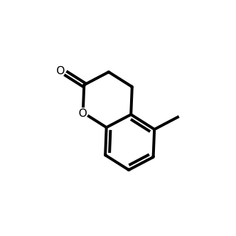 Cc1cccc2c1CCC(=O)O2